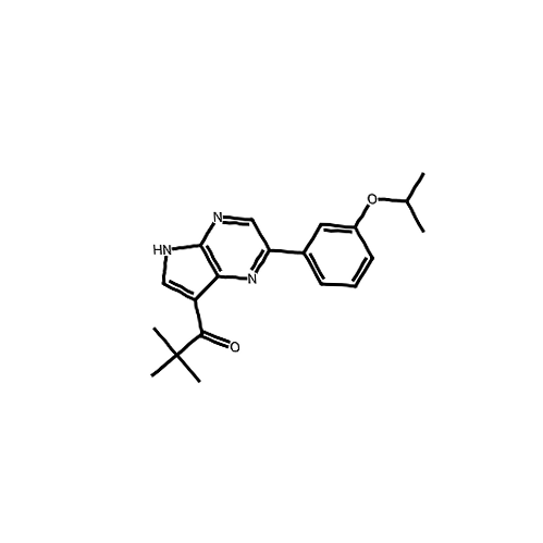 CC(C)Oc1cccc(-c2cnc3[nH]cc(C(=O)C(C)(C)C)c3n2)c1